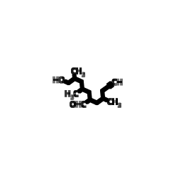 C#CCC(C)CC(C=O)CC(C)CC(C)CO